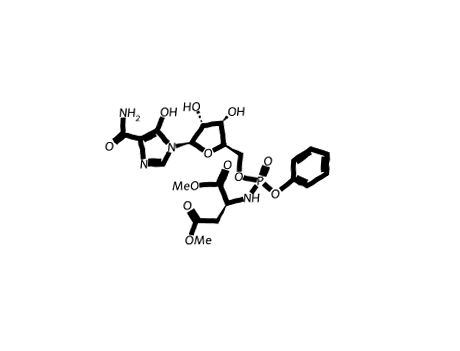 COC(=O)C[C@H](NP(=O)(OC[C@H]1O[C@@H](n2cnc(C(N)=O)c2O)[C@H](O)[C@@H]1O)Oc1ccccc1)C(=O)OC